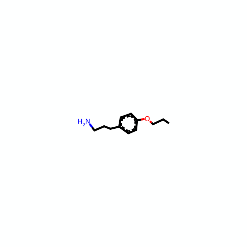 CCCOc1ccc(CCCN)cc1